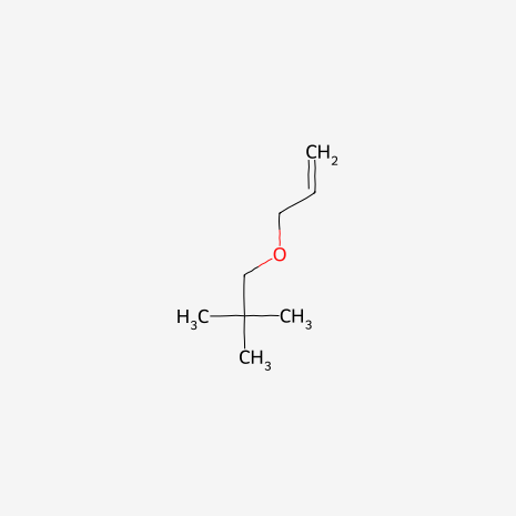 C=CCOCC(C)(C)C